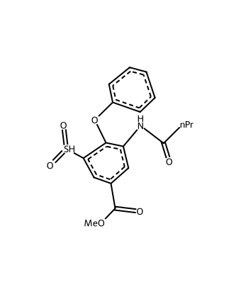 CCCC(=O)Nc1cc(C(=O)OC)cc([SH](=O)=O)c1Oc1ccccc1